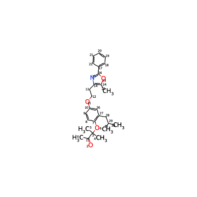 CC(=O)C(C)(C)Oc1ccc(OCCc2nc(-c3ccccc3)oc2C)cc1CC(C)C